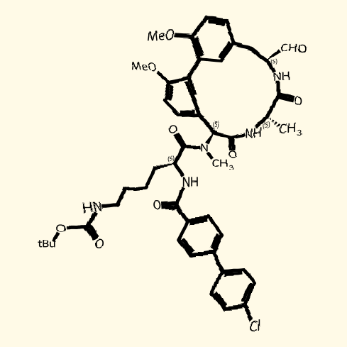 COc1ccc2cc1-c1cc(ccc1OC)[C@H](N(C)C(=O)[C@H](CCCCNC(=O)OC(C)(C)C)NC(=O)c1ccc(-c3ccc(Cl)cc3)cc1)C(=O)N[C@@H](C)C(=O)N[C@H](C=O)C2